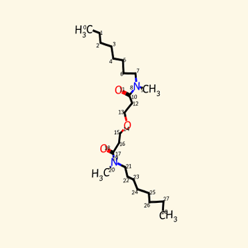 CCCCCCCCN(C)C(=O)CCOCCC(=O)N(C)CCCCCCCC